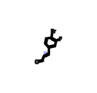 O=[C]/C=C/c1ccc(Br)c(F)c1